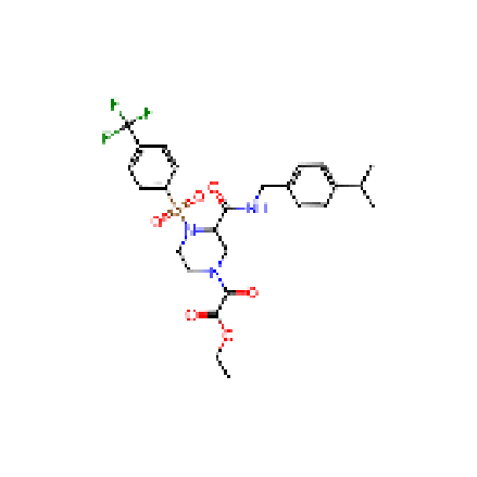 CCOC(=O)C(=O)N1CCN(S(=O)(=O)c2ccc(C(F)(F)F)cc2)C(C(=O)NCc2ccc(C(C)C)cc2)C1